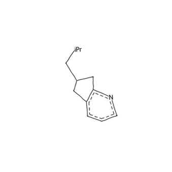 CC(C)CC1Cc2cccnc2C1